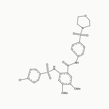 COc1cc(NS(=O)(=O)c2ccc(Cl)cc2)c(C(=O)Nc2ccc(S(=O)(=O)N3CCOCC3)cc2)cc1OC